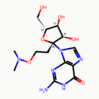 CN(C)OCC[C@@]1(n2cnc3c(=O)[nH]c(N)nc32)O[C@H](CO)[C@@H](O)[C@H]1O